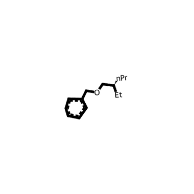 CCC[C@H](CC)COCc1ccccc1